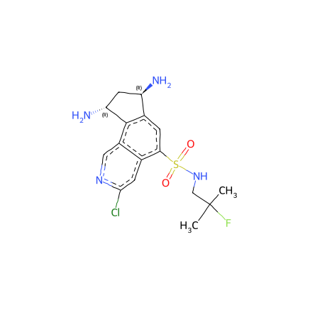 CC(C)(F)CNS(=O)(=O)c1cc2c(c3cnc(Cl)cc13)[C@H](N)C[C@H]2N